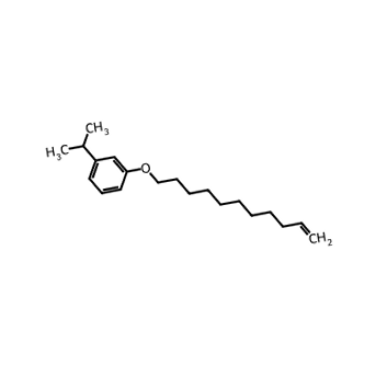 C=CCCCCCCCCCOc1cccc(C(C)C)c1